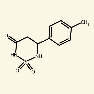 Cc1ccc(C2CC(=O)NS(=O)(=O)N2)cc1